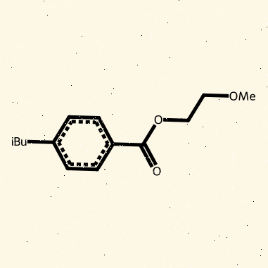 CCC(C)c1ccc(C(=O)OCCOC)cc1